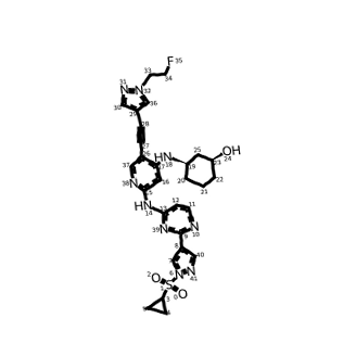 O=S(=O)(C1CC1)n1cc(-c2nccc(Nc3cc(N[C@@H]4CCC[C@H](O)C4)c(C#Cc4cnn(CCF)c4)cn3)n2)cn1